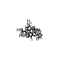 CC1=C(N)SC2=C(c3cc(C)c(C)c4c3N(C(=O)N(N3C(=O)CCC3=O)C4)P2(=O)O)C12SC(C(=O)O)=C(C(=O)O)S2